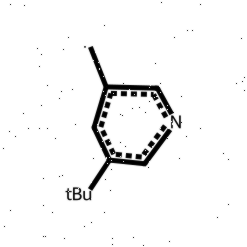 [CH2]c1cncc(C(C)(C)C)c1